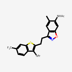 CCCc1c(CCc2noc3cc(NC(C)=O)c(C)cc23)sc2cc(C(F)(F)F)ccc12